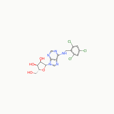 OC[C@H]1OC(n2cnc3c(NCc4c(Cl)cc(Cl)cc4Cl)ncnc32)[C@H](O)[C@@H]1O